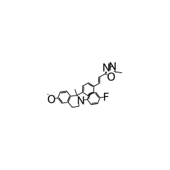 COc1ccc2c(c1)CCN(c1ccc(F)cc1)C2(C)c1ccc(/C=C/c2nnc(C)o2)cc1